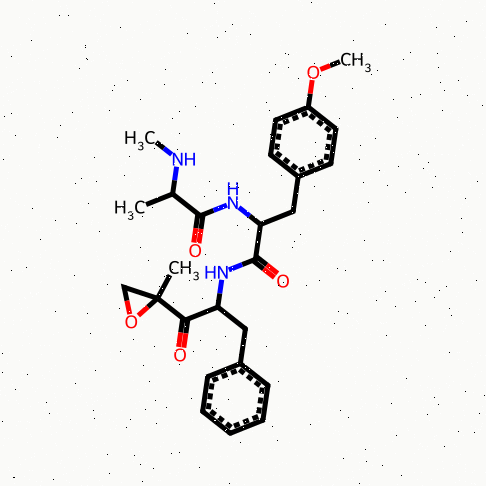 CNC(C)C(=O)NC(Cc1ccc(OC)cc1)C(=O)NC(Cc1ccccc1)C(=O)C1(C)CO1